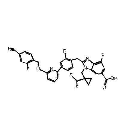 N#Cc1ccc(COc2cccc(-c3ccc(Cc4nc5c(F)cc(C(=O)O)cc5n4CC4(C(F)F)CC4)c(F)c3)n2)c(F)c1